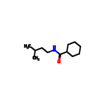 CC(C)CCNC(=O)C1CCCCC1